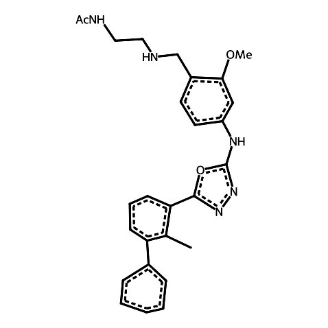 COc1cc(Nc2nnc(-c3cccc(-c4ccccc4)c3C)o2)ccc1CNCCNC(C)=O